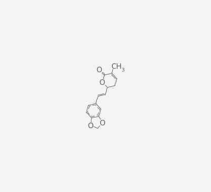 CC1=CCC(C=Cc2ccc3c(c2)OCO3)OC1=O